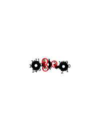 c1ccc(CO[C@H]2CO[C@@H](c3ccccc3)OC2)cc1